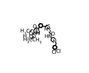 CCC[C@H](NC(=O)OC(C)(C)C)C(=O)Nc1cccc(-c2csc(SCC(=O)NC3CCN(Cc4ccc(Cl)c(Cl)c4)CC3)n2)c1